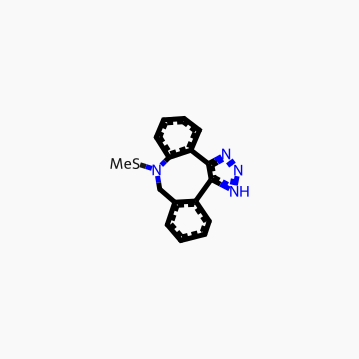 CSN1Cc2ccccc2-c2[nH]nnc2-c2ccccc21